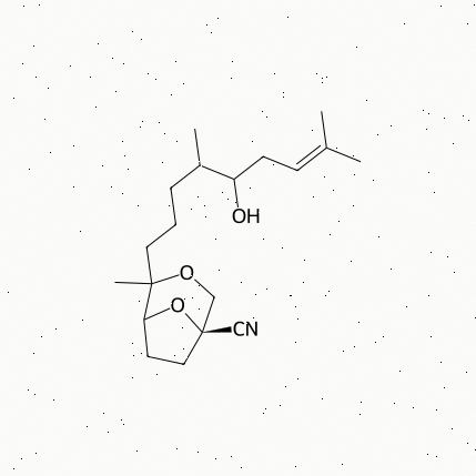 CC(C)=CCC(O)C(C)CCCC1(C)OC[C@]2(C#N)CCC1O2